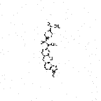 C=C(C(=O)N1CCN(C(C)=O)CC1)c1ccc(Sc2ccc3c(ccn3C)c2)c(Cl)c1